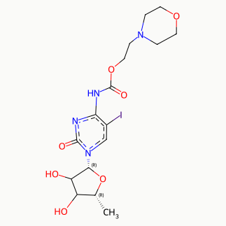 C[C@H]1O[C@@H](n2cc(I)c(NC(=O)OCCN3CCOCC3)nc2=O)C(O)C1O